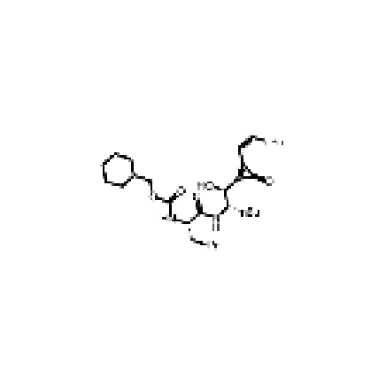 CCCC/C=C\c1c([C@H](O)[C@H](CCCC)NC(=O)[C@H](CC(C)C)NC(=O)OCC2CCCCC2)c1=O